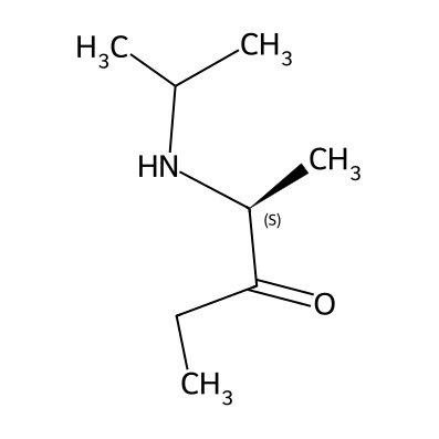 CCC(=O)[C@H](C)NC(C)C